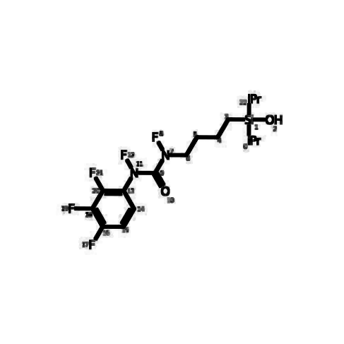 CC(C)[Si](O)(CCCCN(F)C(=O)N(F)c1ccc(F)c(F)c1F)C(C)C